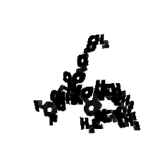 COCCOCCOC(=O)n1nc(NC(=O)c2ccc(N(C)CCN(C)C)cc2NC(C)COC)c2c1CCN(S(=O)(=O)c1cc(F)cc(F)c1)C2